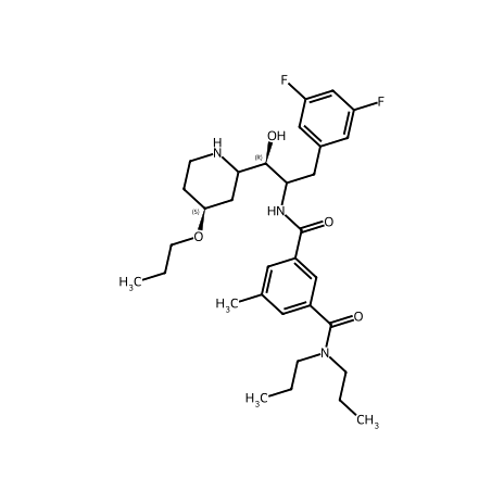 CCCO[C@H]1CCNC([C@@H](O)C(Cc2cc(F)cc(F)c2)NC(=O)c2cc(C)cc(C(=O)N(CCC)CCC)c2)C1